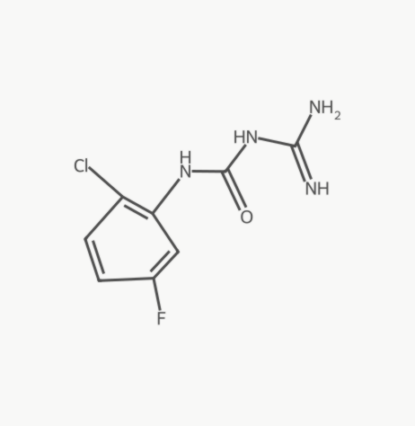 N=C(N)NC(=O)Nc1cc(F)ccc1Cl